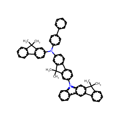 CC1(C)c2ccccc2-c2ccc(N(c3ccc(-c4ccccc4)cc3)c3ccc4c(c3)C(C)(C)c3cc(-n5c6ccccc6c6cc7c(cc65)C(C)(C)c5ccccc5-7)ccc3-4)cc21